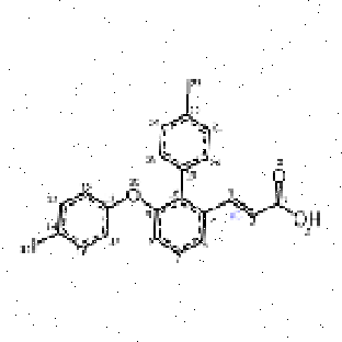 O=C(O)/C=C/c1cccc(Oc2ccc(I)cc2)c1-c1ccc(I)cc1